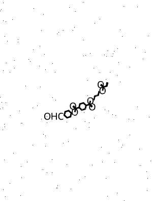 C=CC(=O)OCCCCOC(=O)C1CCC(C(=O)OC2CCC(C=O)CC2)CC1